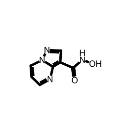 O=C(NO)c1cnn2cccnc12